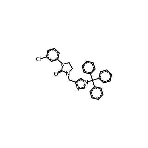 O=C1N(Cc2cn(C(c3ccccc3)(c3ccccc3)c3ccccc3)cn2)CCN1c1cccc(Cl)c1